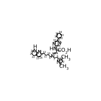 Cc1cc(C)n(CCN(CCCCc2ccc3c(n2)NCCC3)CC[C@H](Nc2cnc(-c3ccccc3)cn2)C(=O)O)n1